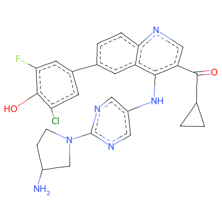 NC1CCN(c2ncc(Nc3c(C(=O)C4CC4)cnc4ccc(-c5cc(F)c(O)c(Cl)c5)cc34)cn2)C1